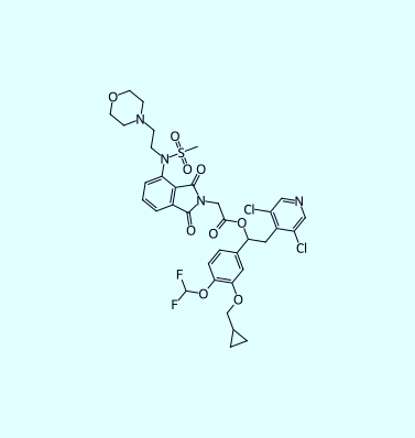 CS(=O)(=O)N(CCN1CCOCC1)c1cccc2c1C(=O)N(CC(=O)OC(Cc1c(Cl)cncc1Cl)c1ccc(OC(F)F)c(OCC3CC3)c1)C2=O